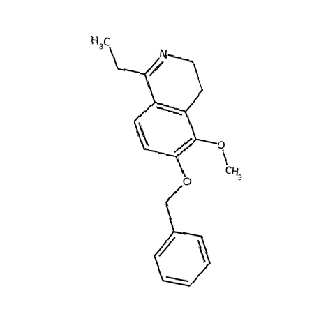 CCC1=NCCc2c1ccc(OCc1ccccc1)c2OC